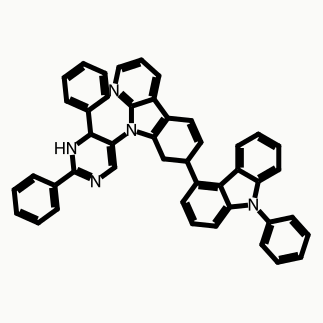 C1=CC(c2cccc3c2c2ccccc2n3-c2ccccc2)Cc2c1c1cccnc1n2C1=CN=C(c2ccccc2)NC1c1ccccc1